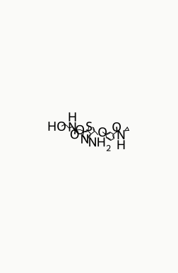 Nc1ncc(OC(=O)NCCO)c2scc(COc3cccc(C(=O)NC4CC4)c3)c12